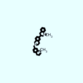 CN1C=CCc2ccc(CN3CCc4cc(C5Cc6ccccc6N(C)C5)ccc4C3)cc21